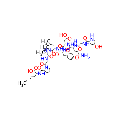 CCCCC[C@H](NC(=O)[C@@H]1CCCN1C(=O)CNC(=O)[C@H](C)NC(=O)[C@H](CC(C)C)NC(=O)[C@H](Cc1ccccc1)NC(=O)[C@H](CC(=O)O)NC(=O)[C@H](CCC(N)=O)NC(=O)CNC(=O)[C@@H]1C[C@@H](O)CN1)C(=O)O